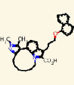 Cc1c2c(nn1C)CCCCCCn1c(C(=O)O)c(CCCOc3cccc4ccccc34)c3cccc-2c31